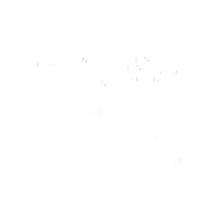 CC(C)(C)N.CC1=CC(C(=O)O)=NCN1C(C)c1cccc(OCC(F)(F)F)c1.CCCCCN